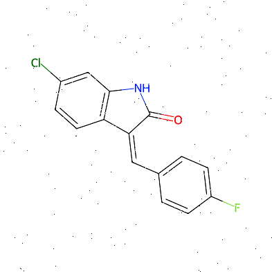 O=C1Nc2cc(Cl)ccc2C1=Cc1ccc(F)cc1